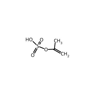 C=C(C)OS(=O)(=O)O